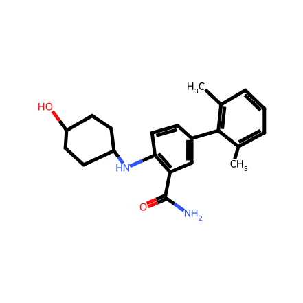 Cc1cccc(C)c1-c1ccc(NC2CCC(O)CC2)c(C(N)=O)c1